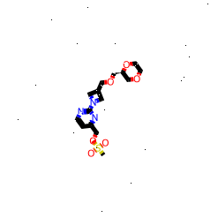 CS(=O)(=O)OCc1ccnc(N2CC(COC[C@H]3COCCO3)C2)n1